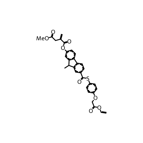 C=COC(=O)COc1ccc(SC(=O)c2ccc3c(c2)C(C)c2cc(OC(=O)C(=C)CC(=O)OC)ccc2-3)cc1